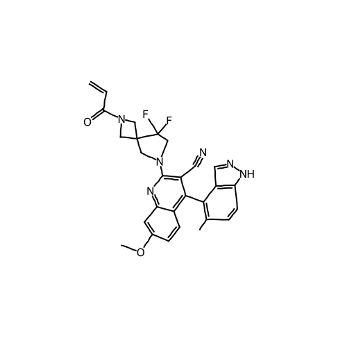 C=CC(=O)N1CC2(C1)CN(c1nc3cc(OC)ccc3c(-c3c(C)ccc4[nH]ncc34)c1C#N)CC2(F)F